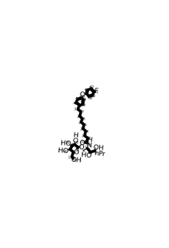 CCC[C@@H](O)[C@@H](O)[C@H](CO[C@H]1OC(CO)[C@H](O)C(O)[C@@H]1O)NC(=O)CCCCCCCCCCc1ccc(Oc2ccc(F)cc2)cc1